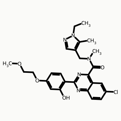 CCn1ncc(CN(C)C(=O)c2nc(-c3ccc(OCCOC)cc3O)nc3ccc(Cl)cc23)c1C